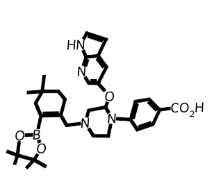 CC1(C)CCC(CN2CCN(c3ccc(C(=O)O)cc3)C(Oc3cnc4[nH]ccc4c3)C2)=C(B2OC(C)(C)C(C)(C)O2)C1